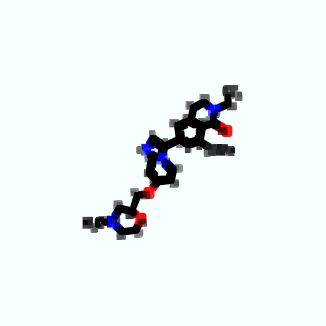 COc1cc(-c2cnc3cc(OC[C@@H]4CN(C)CCO4)ccn23)cc2c1C(=O)N(CC(F)(F)F)CC2